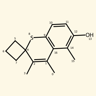 CC1=C(C)C2(CCC2)Sc2ccc(O)c(C)c21